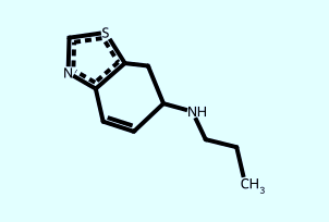 CCCNC1C=Cc2ncsc2C1